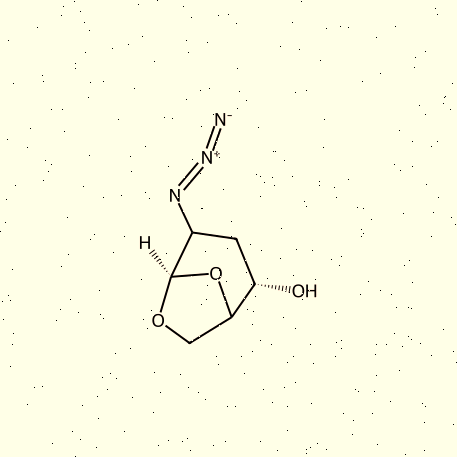 [N-]=[N+]=NC1C[C@H](O)C2CO[C@@H]1O2